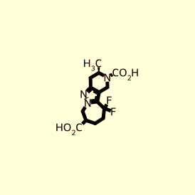 C[C@@H]1Cc2nn3c(c2CN1C(=O)O)C(F)(F)CCC(C(=O)O)C3